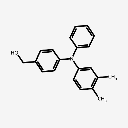 Cc1ccc(N(c2ccccc2)c2ccc(CO)cc2)cc1C